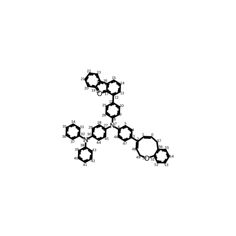 C1=C\C(c2ccc(N(c3ccc(-c4cccc5c4oc4ccccc45)cc3)c3ccc(N(c4ccccc4)c4ccccc4)cc3)cc2)=C/COc2ccccc2C/1